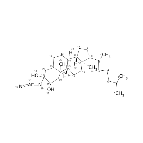 CC(C)CCC[C@@H](C)[C@H]1CC[C@H]2[C@@H]3CCC4CC(O)(N=[N+]=[N-])C(O)C[C@]4(C)[C@H]3CC[C@]12C